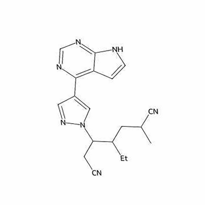 CCC(CC(C)C#N)C(CC#N)n1cc(-c2ncnc3[nH]ccc23)cn1